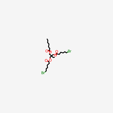 CCCCCCC(=O)OCC(CC)(COC(=O)CCCCCBr)COC(=O)CCCCCBr